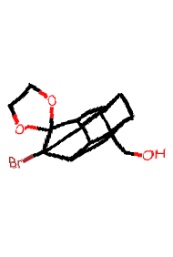 OCC12C3C4C1C1C2C3C1(Br)C41OCCO1